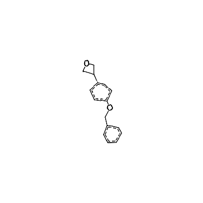 c1ccc(COc2ccc(C3COC3)cc2)cc1